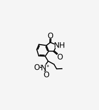 CCCC(c1cccc2c1C(=O)NC2=O)[N+](=O)[O-]